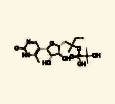 CCC(C)(C[C@H]1O[C@@H](c2cnc(=O)[nH]c2C)[C@@H](O)C1O)OP(=O)(O)C(C)(C)O